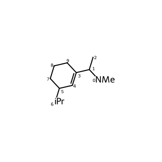 CNC(C)C1=CC(C(C)C)CCC1